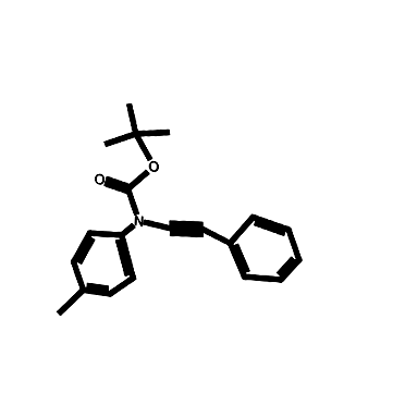 Cc1ccc(N(C#Cc2ccccc2)C(=O)OC(C)(C)C)cc1